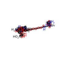 CCCNC(=O)[C@H](CCCCNC(=O)CCOCCOCCOCCOCCOCCOCCOCCOC(=O)Nc1cc(COC(=O)N(C)[C@H](C(=O)N[C@H](C(=O)N(C)[C@@H]([C@@H](C)CC)[C@@H](CC(=O)N2CCC[C@H]2[C@H](OC)[C@@H](C)C(=O)N[C@H](C)[C@@H](O)c2ccccc2)OC)C(C)C)C(C)C)ccc1O[C@@H]1O[C@H](C(=O)O)[C@@H](O)[C@H](O)[C@H]1O)NC(=O)[C@@H](CN)N1C(=O)C=CC1=O